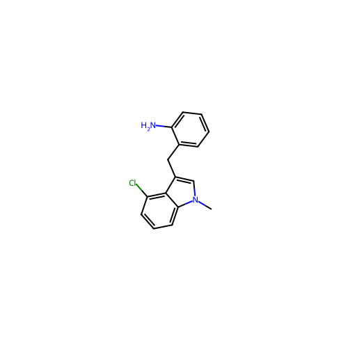 Cn1cc(Cc2ccccc2N)c2c(Cl)cccc21